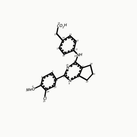 COc1ccc(-c2nc3c(c(Nc4ccc(CC(=O)O)cc4)n2)CCC3)cc1Cl